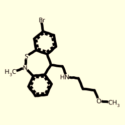 COCCCNCC1c2ccc(Br)cc2SN(C)c2ccccc21